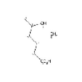 C.CC(O)CCCC(=O)O